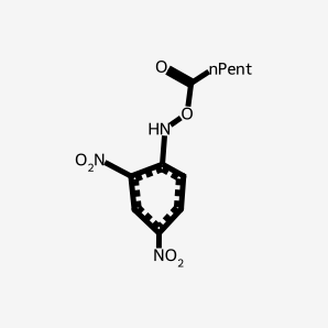 CCCCCC(=O)ONc1ccc([N+](=O)[O-])cc1[N+](=O)[O-]